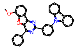 COc1cccc2c1oc1c(-c3ccccc3)nc(-c3cccc(-n4c5ccccc5c5ccccc54)c3)nc12